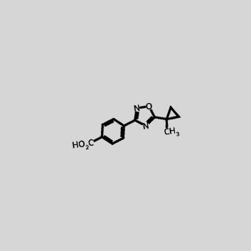 CC1(c2nc(-c3ccc(C(=O)O)cc3)no2)CC1